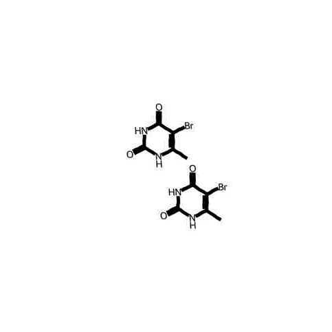 Cc1[nH]c(=O)[nH]c(=O)c1Br.Cc1[nH]c(=O)[nH]c(=O)c1Br